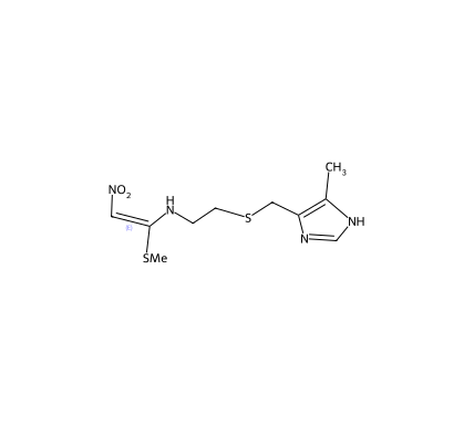 CS/C(=C/[N+](=O)[O-])NCCSCc1nc[nH]c1C